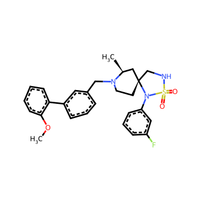 COc1ccccc1-c1cccc(CN2CC[C@]3(CNS(=O)(=O)N3c3cccc(F)c3)C[C@@H]2C)c1